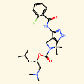 CC(C)C[C@@H](CN(C)C)OC(=O)N1Cc2c(NC(=O)c3ccccc3F)n[nH]c2C1(C)C